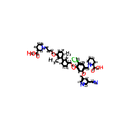 Cc1c(COc2cc(OCc3cncc(C#N)c3)c(CN3CCCC[C@H]3C(=O)O)cc2Cl)cccc1-c1cccc(OCCCN2CCC[C@H](C(=O)O)C2)c1C